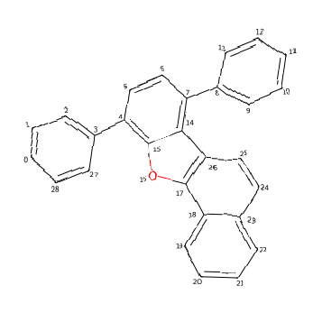 c1ccc(-c2ccc(-c3ccccc3)c3c2oc2c4ccccc4ccc23)cc1